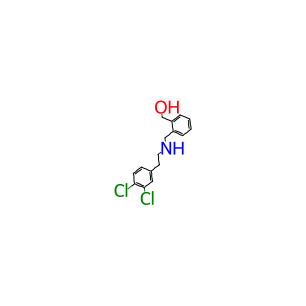 OCc1ccccc1CNCCc1ccc(Cl)c(Cl)c1